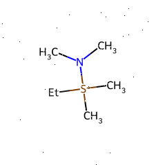 CCS(C)(C)N(C)C